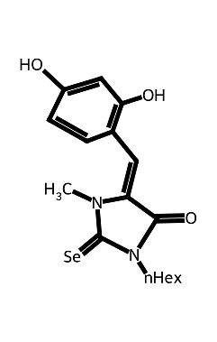 CCCCCCN1C(=O)C(=Cc2ccc(O)cc2O)N(C)C1=[Se]